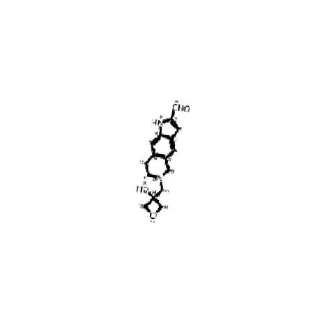 O=Cc1cc2cc3c(cc2[nH]1)CCN(CC1(O)COC1)C3